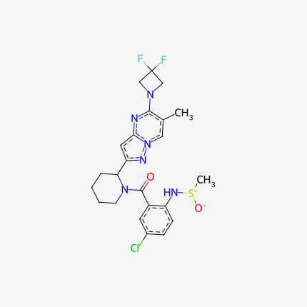 Cc1cn2nc(C3CCCCN3C(=O)c3cc(Cl)ccc3N[S+](C)[O-])cc2nc1N1CC(F)(F)C1